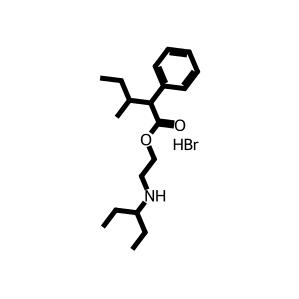 Br.CCC(CC)NCCOC(=O)C(c1ccccc1)C(C)CC